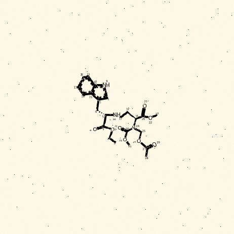 CCOC(=O)[C@H](Cc1c[nH]c2ccccc12)NCC[C@@H](C(=O)OC)N(COC(C)=O)C(=O)OC